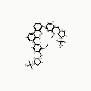 COc1nc(-c2cccc(-c3cccc(-c4cnc(CN5CC[C@H](C(C)(C)O)C5)c(OC)n4)c3Cl)c2Cl)cnc1CN1CC[C@H](C(C)(C)O)C1